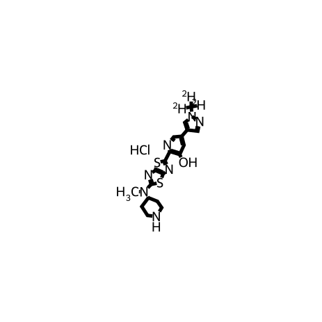 Cl.[2H]C([2H])([2H])n1cc(-c2cnc(-c3nc4sc(N(C)C5CCNCC5)nc4s3)c(O)c2)cn1